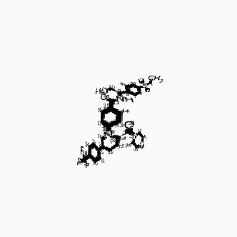 CCS(=O)(=O)c1ccc([C@H](CO)NC(=O)c2ccc(N3CC(c4ccc(C(F)(F)F)cc4)CC[C@H]3C(=O)N3CCOCC3)cc2)cc1